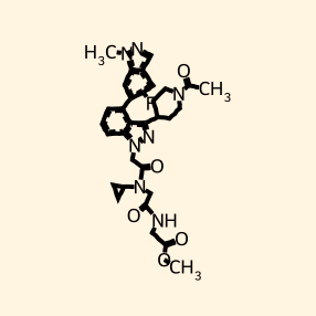 COC(=O)CNC(=O)CN(C(=O)Cn1nc(C2CCN(C(C)=O)CC2)c2c(-c3cc4c(cnn4C)cc3F)cccc21)C1CC1